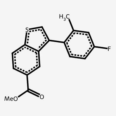 COC(=O)c1ccc2scc(-c3ccc(F)cc3C)c2c1